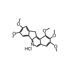 COc1cc2c(cc1OC)-c1ncc3cc(OC)c(OC)c(OC)c3c1C2.Cl